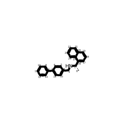 C[C@H](NCc1ccc(-c2ccccc2)cc1)c1cccc2ccccc12